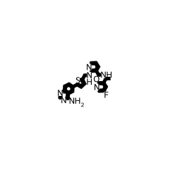 CC(NC(=O)c1cccnc1NCc1ccc(-c2ccc3ncnc(N)c3c2)s1)c1cncc(F)c1